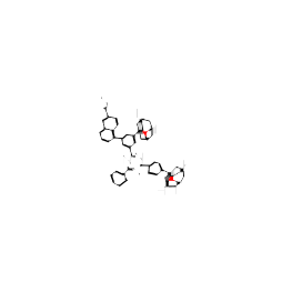 N#Cc1ccc2c(-c3cc(-c4nc(-c5ccccc5)nc(-c5ccc(C67C[C@H]8C[C@H](C6)C[C@@H](C7)C8)cc5)n4)cc(C45C[C@H]6C[C@@H](C4)C[C@@H](C5)C6)c3)cccc2c1